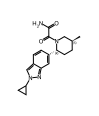 C[C@H]1CC[C@H](c2ccc3cn(C4CC4)nc3c2)N(C(=O)C(N)=O)C1